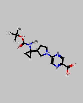 CN(C(=O)OC(C)(C)C)C1(C2CCN(c3cnc(C(=O)O)cn3)C2)CC1